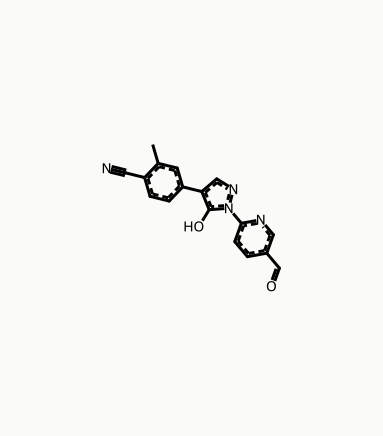 Cc1cc(-c2cnn(-c3ccc(C=O)cn3)c2O)ccc1C#N